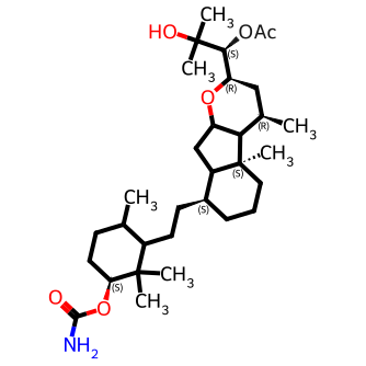 CC(=O)O[C@@H]([C@H]1C[C@@H](C)C2C(CC3[C@H](CCC4C(C)CC[C@H](OC(N)=O)C4(C)C)CCC[C@@]32C)O1)C(C)(C)O